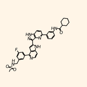 CS(=O)(=O)NCc1cc(F)cc(-c2nccc3[nH]c(-c4n[nH]c5ccc(-c6cccc(NC(=O)C7CCCCC7)c6)nc45)cc23)c1